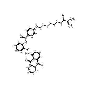 C=C(C)C(=O)OCCCCCCOc1ccc(C(=O)Oc2ccccc2CNc2cccc3c2C(=O)c2ccccc2C3=O)cc1